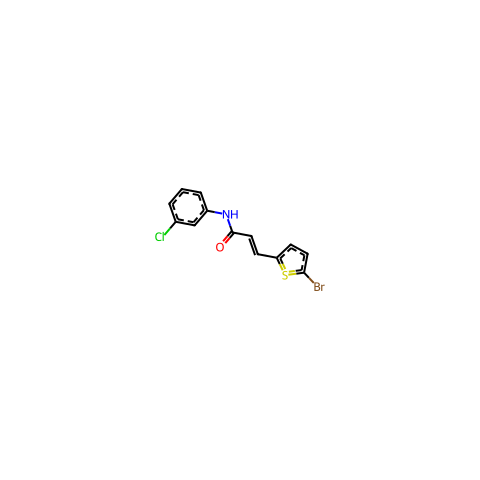 O=C(/C=C/c1ccc(Br)s1)Nc1cccc(Cl)c1